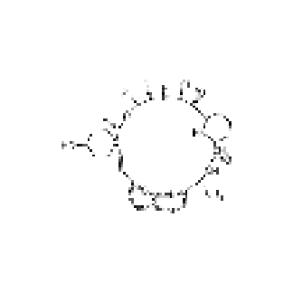 CC(C)C1OC(=O)C2(/C=C/c3ccc4ccc(nc4c3)[C@@H](C)NC(=O)[C@]3(C)CCCN(N3)C(=O)[C@H](C)NC1=O)CCC(O)CC2